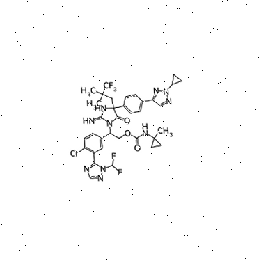 CC1(NC(=O)OCC(c2ccc(Cl)c(-c3ncnn3C(F)F)c2)N2C(=N)NC(CC(C)(C)C(F)(F)F)(c3ccc(-c4cnn(C5CC5)n4)cc3)C2=O)CC1